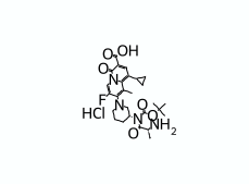 Cc1c(N2CCC[C@@H](N(C(=O)OC(C)(C)C)C(=O)[C@H](C)N)C2)c(F)cn2c(=O)c(C(=O)O)cc(C3CC3)c12.Cl